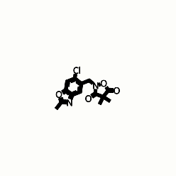 Cc1nc2cc(CN3OC(=O)C(C)(C)C3=O)c(Cl)cc2o1